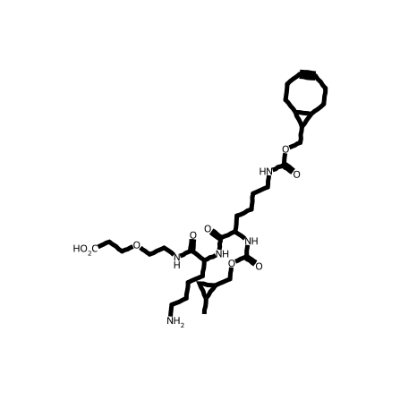 CC1CC1COC(=O)NC(CCCCNC(=O)OCC1C2CCC#CCCC21)C(=O)NC(CCCCN)C(=O)NCCOCCC(=O)O